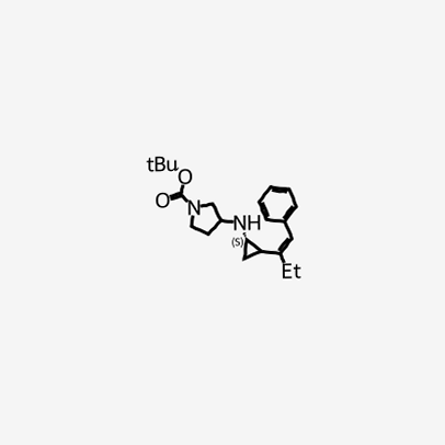 CCC(=Cc1ccccc1)C1C[C@@H]1NC1CCN(C(=O)OC(C)(C)C)C1